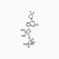 O=P(O)(O)CP(=O)(O)OC[C@H]1O[C@@H](c2cnc3c(N4CCC(F)(F)C4)cc(Cl)nn23)[C@@H](O)[C@@H]1O